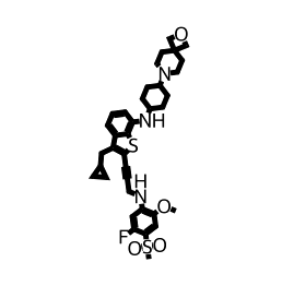 COc1cc(S(C)(=O)=O)c(F)cc1NCC#Cc1sc2c(NC3CCC(N4CCC5(CC4)COC5)CC3)cccc2c1CC1CC1